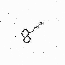 ON=CCc1cccc2ccccc12